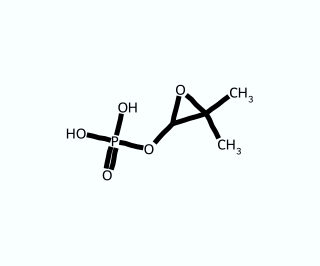 CC1(C)OC1OP(=O)(O)O